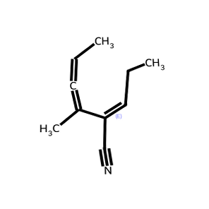 CC=C=C(C)/C(C#N)=C\CC